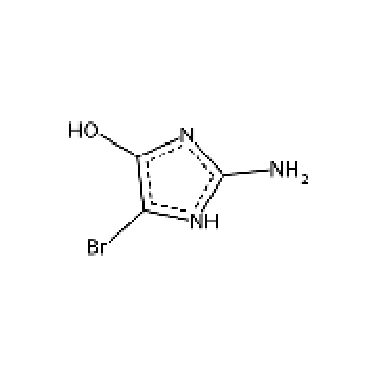 Nc1nc(O)c(Br)[nH]1